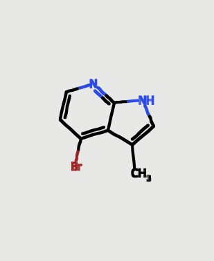 Cc1c[nH]c2nccc(Br)c12